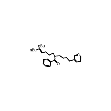 CCCCC(=CCCCN(CCCCc1cccnc1)C(=O)c1ccccc1)CCCC